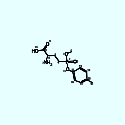 COP(=O)(CCC(N)C(=O)O)Oc1ccc(C)cc1